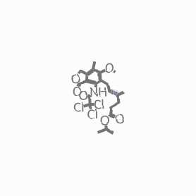 COc1c(C)c2c(c(NC(=O)C(Cl)(Cl)Cl)c1C/C=C(\C)CCC(=O)OC(C)C)C(=O)OC2